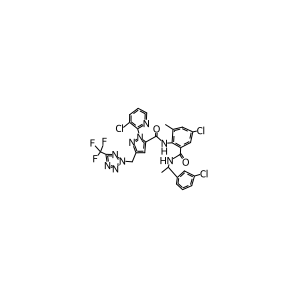 Cc1cc(Cl)cc(C(=O)NC(C)c2cccc(Cl)c2)c1NC(=O)c1cc(Cn2nnc(C(F)(F)F)n2)nn1-c1ncccc1Cl